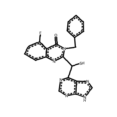 O=c1c2c(F)cccc2nc(C(S)c2ncnc3[nH]cnc23)n1Cc1ccccc1